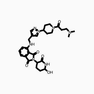 CN(C)CCC(=O)N1CCC(n2cc(CNc3cccc4c3C(=O)N(C3CCC(O)NC3=O)C4=O)cn2)CC1